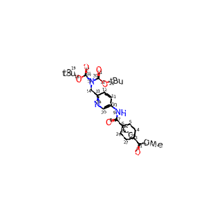 COC(=O)C12CCC(C(=O)Nc3ccc(CN(C(=O)OC(C)(C)C)C(=O)OC(C)(C)C)nc3)(CC1)CC2